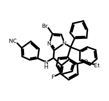 CCOc1ccc(F)c(C(Nc2ccc(C#N)cc2)c2nc(Br)cn2C(c2ccccc2)(c2ccccc2)c2ccccc2)c1